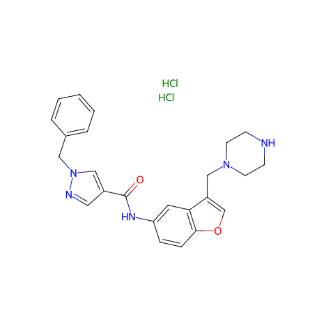 Cl.Cl.O=C(Nc1ccc2occ(CN3CCNCC3)c2c1)c1cnn(Cc2ccccc2)c1